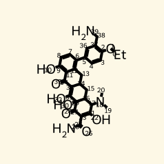 CCOc1ccc(-c2ccc(O)c3c2CC2CC4C(N(C)C)C(O)=C(C(N)=O)C(=O)C4(O)C(O)=C2C3=O)cc1CN